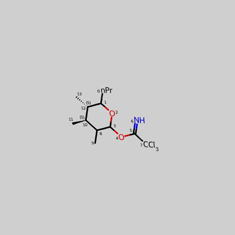 CCCC1OC(OC(=N)C(Cl)(Cl)Cl)C(C)[C@@H](C)[C@@H]1C